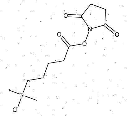 C[Si](C)(Cl)CCCCC(=O)ON1C(=O)CCC1=O